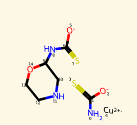 NC([O-])=S.[Cu+2].[O-]C(=S)NC1CNCCO1